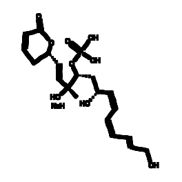 C[C@@](O)(/C=C/[C@@H]1CC=CC(=O)O1)[C@@H](C[C@@H](O)\C=C/C=C\C=C\CO)OP(=O)(O)O.[NaH]